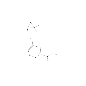 CC(C)(C)OC(=O)N1CCC=C(B2OC3(C)CC3(C)O2)C1